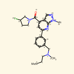 CNCCN(C)Cc1cccc(-c2cc(C(=O)N3CCC(F)C3)c3cnn(C(C)C)c3n2)c1